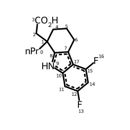 CCCC1(CC(=O)O)CCCc2c1[nH]c1cc(F)cc(F)c21